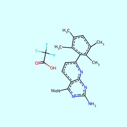 CNc1nc(N)nc2nc(-c3c(C)c(C)cc(C)c3C)ccc12.O=C(O)C(F)(F)F